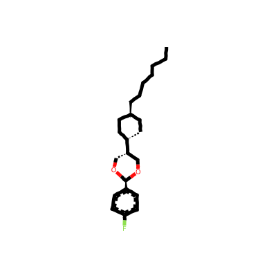 CCCCCCC[C@H]1CC[C@H]([C@H]2CO[C@H](c3ccc(F)cc3)OC2)CC1